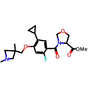 COC(=O)C1COCN1C(=O)c1cc(C2CC2)c(OCC2(C)CN(C)C2)cc1F